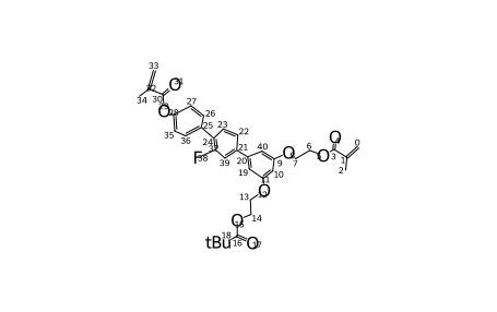 C=C(C)C(=O)OCCOc1cc(OCCOC(=O)C(C)(C)C)cc(-c2ccc(-c3ccc(OC(=O)C(=C)C)cc3)c(F)c2)c1